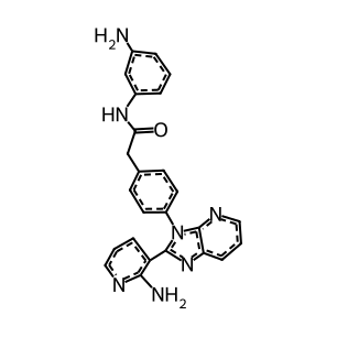 Nc1cccc(NC(=O)Cc2ccc(-n3c(-c4cccnc4N)nc4cccnc43)cc2)c1